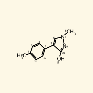 Cc1ccc(-c2cn(C)nc2O)cc1